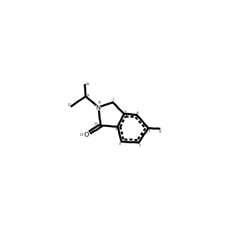 Cc1ccc2c(c1)CN(C(C)C)C2=O